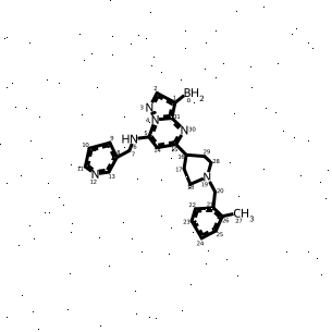 Bc1cnn2c(NCc3cccnc3)cc(C3CCN(Cc4ccccc4C)CC3)nc12